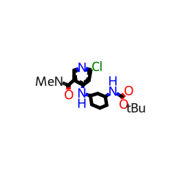 CNC(=O)c1cnc(Cl)cc1NC1CCCC(NC(=O)OC(C)(C)C)C1